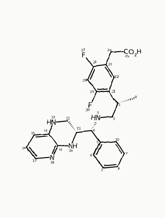 C[C@H](CN[C@H](c1ccccc1)[C@H]1CNc2cccnc2N1)c1cc(CC(=O)O)c(F)cc1F